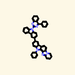 c1ccc(-c2nc(-n3c4ccccc4c4cc(-c5ccc6c(c5)c5ccc7c(nc8ccccn87)c5n6-c5ccccc5)ccc43)nc3ccccc23)cc1